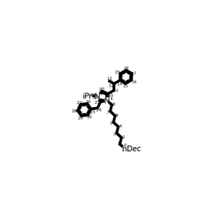 CCCCCCCCCCCCCCCCCC[n+]1c(CC(C)c2ccccc2)cn(C(C)C)c1Cc1ccccc1